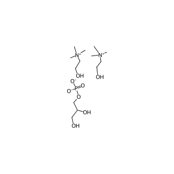 C[N+](C)(C)CCO.C[N+](C)(C)CCO.O=P([O-])([O-])OCC(O)CO